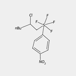 CCCCC(Cl)CS(F)(F)(F)(F)c1ccc([N+](=O)[O-])cc1